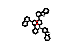 c1cc(-c2ccccc2N(c2ccc(-c3cccc4c3oc3ccccc34)cc2)c2ccc3oc4ccccc4c3c2)cc(-c2cccc3ccccc23)c1